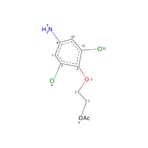 CC(=O)OCCOc1c(Cl)cc(N)cc1Cl